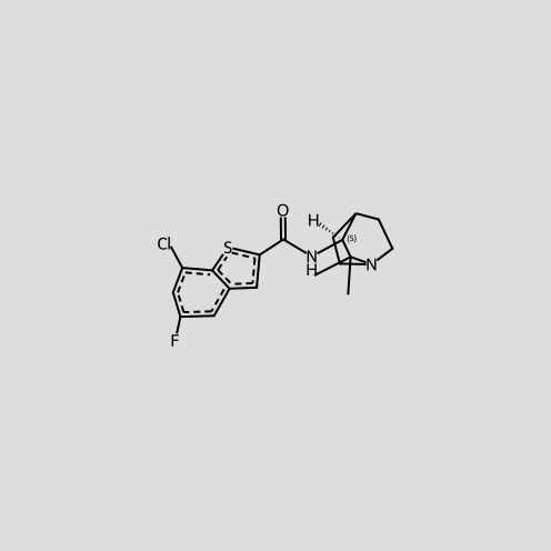 CC1(C)[C@@H](NC(=O)c2cc3cc(F)cc(Cl)c3s2)C2CCN1CC2